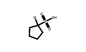 [O]C1(S(=O)(=O)O)CCCC1